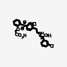 Cl.O=C(O)COc1ccccc1S(=O)(=O)c1ccc(CCNC[C@H](O)c2cccc(Cl)c2)cc1